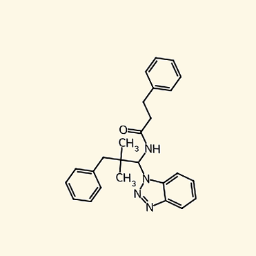 CC(C)(Cc1ccccc1)C(NC(=O)CCc1ccccc1)n1nnc2ccccc21